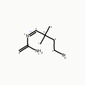 C=C(N)/N=C\C(C)(C)CCBr